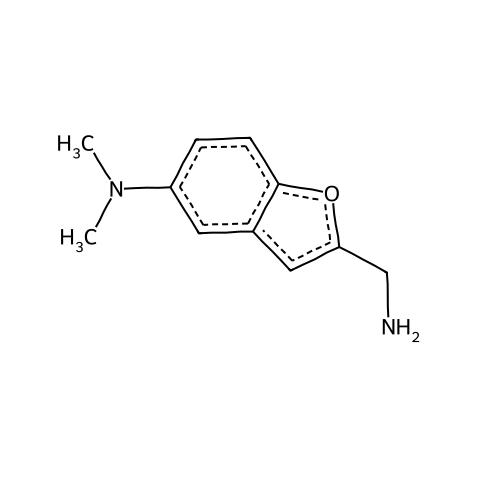 CN(C)c1ccc2oc(CN)cc2c1